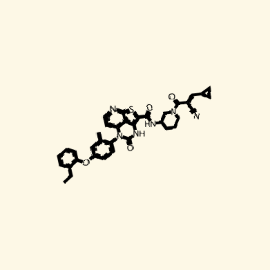 CCc1ccccc1Oc1ccc(N2C(=O)Nc3c(C(=O)NC4CCCN(C(=O)C(C#N)=CC5CC5)C4)sc4nccc2c34)c(C)c1